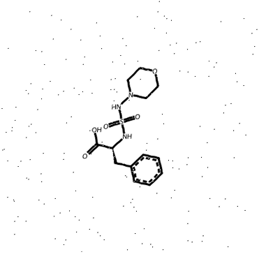 O=C(O)[C@H](Cc1ccccc1)NS(=O)(=O)NN1CCOCC1